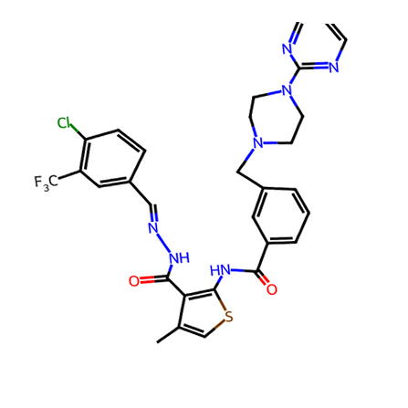 Cc1csc(NC(=O)c2cccc(CN3CCN(c4ncccn4)CC3)c2)c1C(=O)NN=Cc1ccc(Cl)c(C(F)(F)F)c1